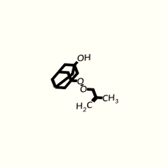 C=C(C)COOC12CC3CC(CC(O)(C3)C1)C2